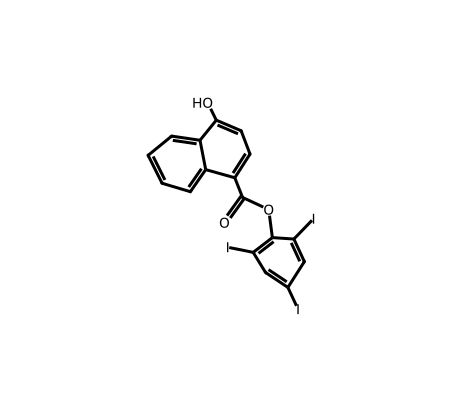 O=C(Oc1c(I)cc(I)cc1I)c1ccc(O)c2ccccc12